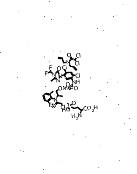 C=CCN(CC=C)C(=O)C(Cl)Cl.CCc1cccc(C)c1N(C(=O)CCl)C(C)COC.CP(=O)(O)CCC(N)C(=O)O.Cc1nn(-c2cc(NS(C)(=O)=O)c(Cl)cc2Cl)c(=O)n1C(F)F